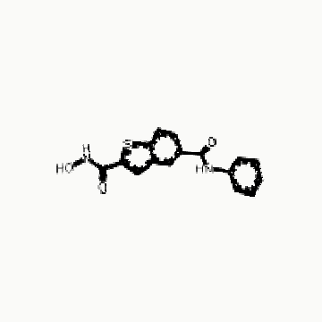 O=C(Nc1ccccc1)c1ccc2sc(C(=O)NO)cc2c1